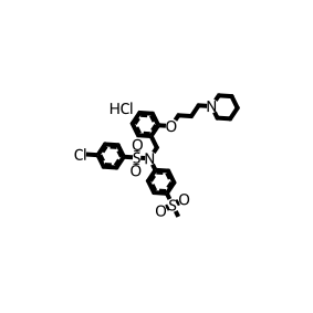 CS(=O)(=O)c1ccc(N(Cc2ccccc2OCCCN2CCCCC2)S(=O)(=O)c2ccc(Cl)cc2)cc1.Cl